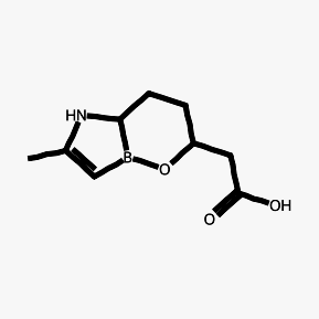 CC1=CB2OC(CC(=O)O)CCC2N1